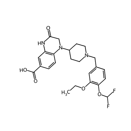 CCOc1cc(CN2CCC(N3CC(=O)Nc4cc(C(=O)O)ccc43)CC2)ccc1OC(F)F